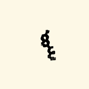 C/C(=C\C(=O)OC(C)(C)C)c1cnc2ccc(Br)cc2c1